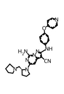 N#Cc1c(Nc2ccc(Oc3ccncc3)cc2)nn2c(N)nc(N3CCC[C@H]3CN3CCCC3)cc12